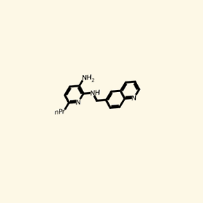 CCCc1ccc(N)c(NCc2ccc3ncccc3c2)n1